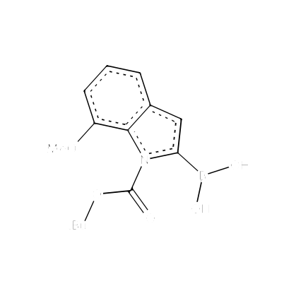 COc1cccc2cc(B(O)O)n(C(=O)OC(C)(C)C)c12